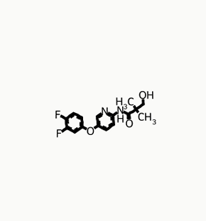 CC(C)(CO)C(=O)Nc1ccc(Oc2ccc(F)c(F)c2)cn1